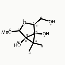 COC1O[C@@H](CO)[C@]2(O)C(C)(C)[C@]12O